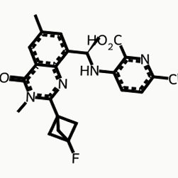 Cc1cc([C@@H](C)Nc2ccc(Cl)nc2C(=O)O)c2nc(C34CC(F)(C3)C4)n(C)c(=O)c2c1